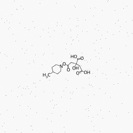 CC1CCN(OC(=O)CC(O)(CC(=O)O)C(=O)O)CC1